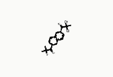 CCC(C)(C)C(=O)c1ccc2cc(C(=O)C(C)(CC)CC)ccc2c1